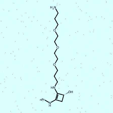 CCCNC1=C(NCCCOCCOCCOCCCN)[C@H](O)C1